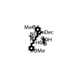 CCCCCCCCCCCCC(C#N)(CCCC(CCc1cccc(OC)c1)/N=N/C)c1cccc(OC)c1.O=C(O)C(=O)O